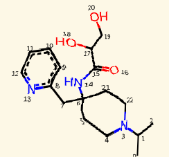 CC(C)N1CCC(Cc2ccccn2)(NC(=O)C(O)CO)CC1